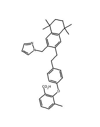 Cc1cccc(C(=O)O)c1Oc1ccc(CCc2cc3c(cc2Cn2cccn2)C(C)(C)CCC3(C)C)cc1